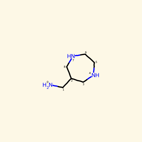 NCC1CNCCNC1